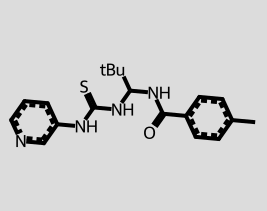 Cc1ccc(C(=O)NC(NC(=S)Nc2cccnc2)C(C)(C)C)cc1